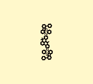 Cc1c2c3c(cccc3c3cc(N(c4ccccc4)c4cccc5c4oc4c(-c6ccccc6)cccc45)ccc13)C(C)(C)c1cc(N(c3ccccc3)c3cccc4c3oc3c(-c5ccccc5)cccc34)ccc1-2